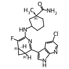 C[C@@]1(C(N)=O)CCCC(NC2=C(F)[C@@H]3C[C@H]3C(c3c[nH]c4ncc(Cl)cc34)=N2)C1